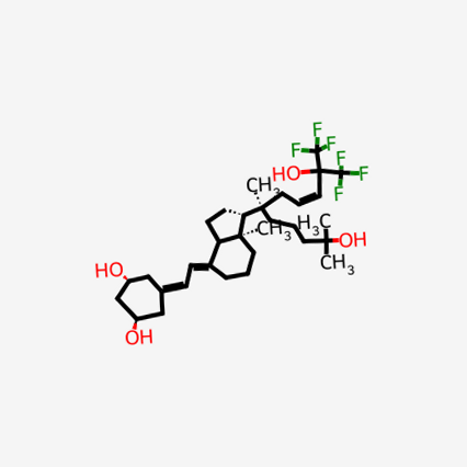 CC(C)(O)CCC[C@](C)(C/C=C\C(O)(C(F)(F)F)C(F)(F)F)[C@H]1CCC2/C(=C/C=C3C[C@@H](O)C[C@H](O)C3)CCC[C@@]21C